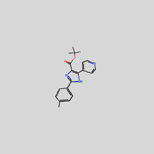 Cc1ccc(-c2nc(C(=O)OC(C)(C)C)c(-c3ccncc3)[nH]2)cc1